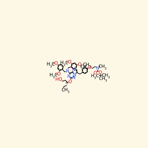 CCC[C@H](CCO)Oc1nc(N(Cc2ccc(OC)cc2OC)Cc2ccc(OC)cc2OC)c2ncc(Cc3ccc(OCCN(C)C(=O)OC(C)(C)C)c(C)c3)n2n1